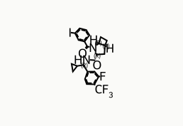 O=C(N[C@@H](c1ccc(C(F)(F)F)c(F)c1)C1CC1)[C@H]1C[C@H]2CC[C@H]2N1C(=O)c1cccc(I)c1